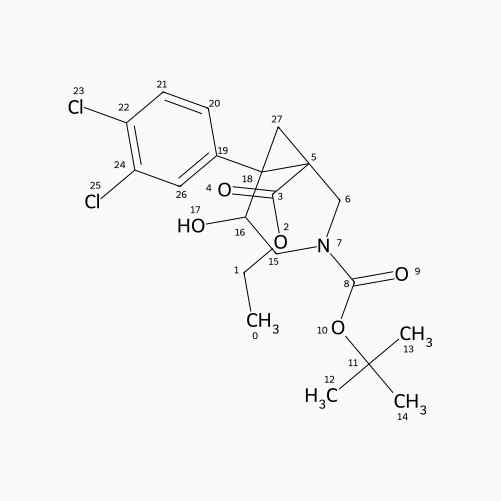 CCOC(=O)C12CN(C(=O)OC(C)(C)C)CC(O)C1(c1ccc(Cl)c(Cl)c1)C2